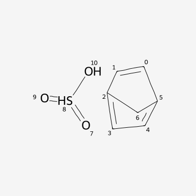 C1=CC2=CC=C1C2.O=[SH](=O)O